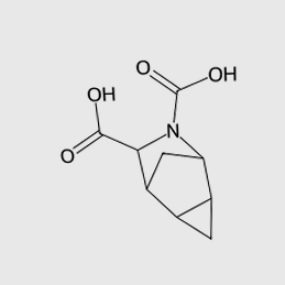 O=C(O)C1C2CC(C3CC32)N1C(=O)O